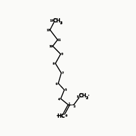 [CH]=C(C[CH2])CCCCCCCCCC